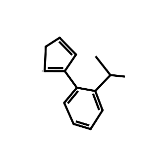 CC(C)c1ccccc1C1=[C]CC=C1